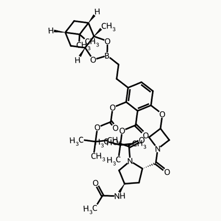 CC(=O)N[C@@H]1C[C@@H](C(=O)N2CC(Oc3ccc(CCB4O[C@@H]5C[C@@H]6C[C@@H](C6(C)C)[C@]5(C)O4)c(OC(=O)OC(C)(C)C)c3C(=O)OC(C)(C)C)C2)N(C(=O)O)C1